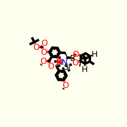 COC(=O)c1c(OC(=O)OC(C)(C)C)ccc(C[C@@H](B2OC3C[C@@H]4C(C)[C@@H](C4(C)C)[C@]3(C)O2)N([Si](C)(C)C)[Si](C)(C)C)c1OCc1ccc(OC)cc1